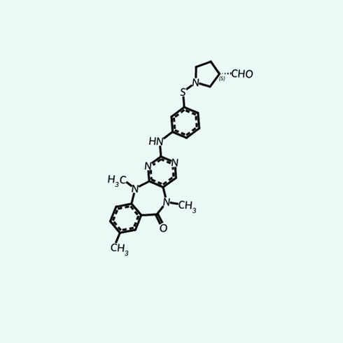 Cc1ccc2c(c1)C(=O)N(C)c1cnc(Nc3cccc(SN4CC[C@H](C=O)C4)c3)nc1N2C